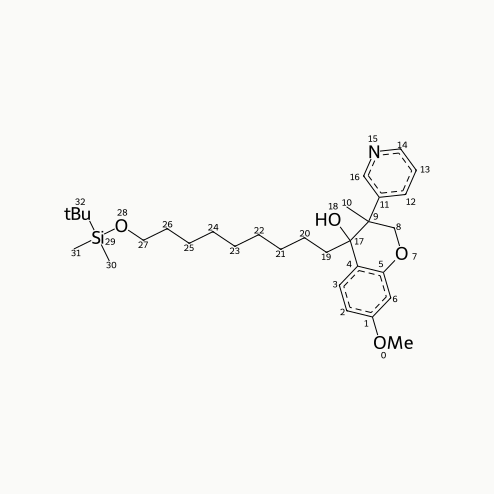 COc1ccc2c(c1)OCC(C)(c1cccnc1)C2(O)CCCCCCCCCO[Si](C)(C)C(C)(C)C